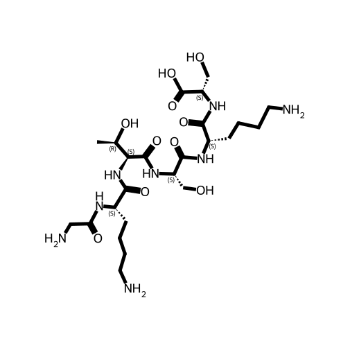 C[C@@H](O)[C@H](NC(=O)[C@H](CCCCN)NC(=O)CN)C(=O)N[C@@H](CO)C(=O)N[C@@H](CCCCN)C(=O)N[C@@H](CO)C(=O)O